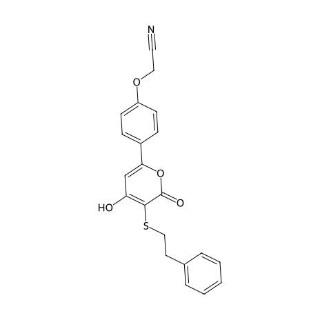 N#CCOc1ccc(-c2cc(O)c(SCCc3ccccc3)c(=O)o2)cc1